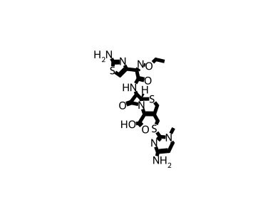 CCO/N=C(\C(=O)NC1C(=O)N2C(C(=O)O)=C(CSC3=NC(N)=CCN3C)CS[C@@H]12)c1csc(N)n1